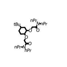 CCCN(CCC)C(=O)COC1CCC(C(C)(C)C)CC1OCC(=O)N(CCC)CCC